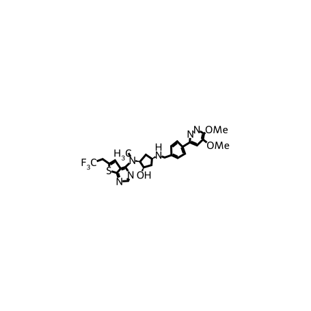 COc1cc(-c2ccc(CN[C@H]3C[C@@H](O)[C@@H](N(C)c4ncnc5sc(CC(F)(F)F)cc45)C3)cc2)nnc1OC